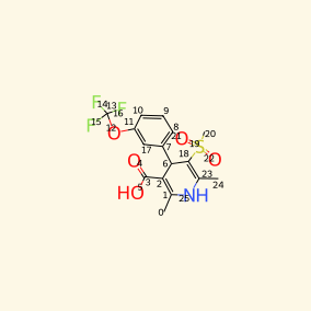 CC1=C(C(=O)O)C(c2cccc(OC(F)(F)F)c2)C(S(C)(=O)=O)=C(C)N1